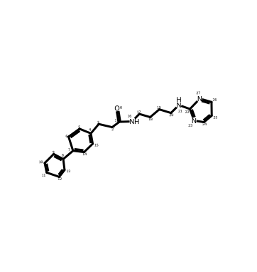 O=C([CH]Cc1ccc(-c2ccccc2)cc1)NCCCCNc1ncccn1